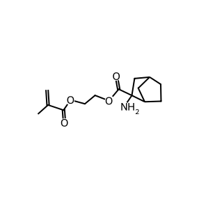 C=C(C)C(=O)OCCOC(=O)C1(N)CC2CCC1C2